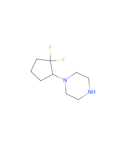 FC1(F)CCCC1N1CCNCC1